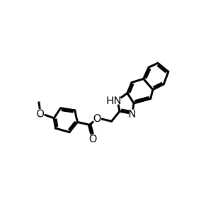 COc1ccc(C(=O)OCc2nc3cc4ccccc4cc3[nH]2)cc1